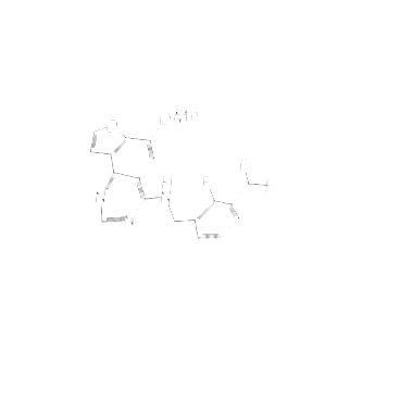 COc1cc2c(NCc3cccc(C(F)F)c3F)nc(C)nc2c2ccoc12